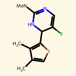 CNC1=NC=C(F)C(c2scc(C)c2C)N1